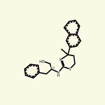 CC1(c2ccc3ccccc3c2)CCSC(N[C@H](CO)Cc2ccccc2)=N1